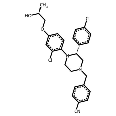 C[C@H](O)COc1ccc(N2CCN(Cc3ccc(C#N)cc3)C[C@H]2c2ccc(Cl)cc2)c(Cl)c1